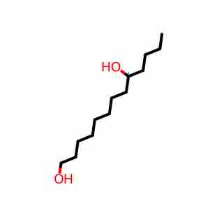 CCCC[C](O)CCCCCCCCO